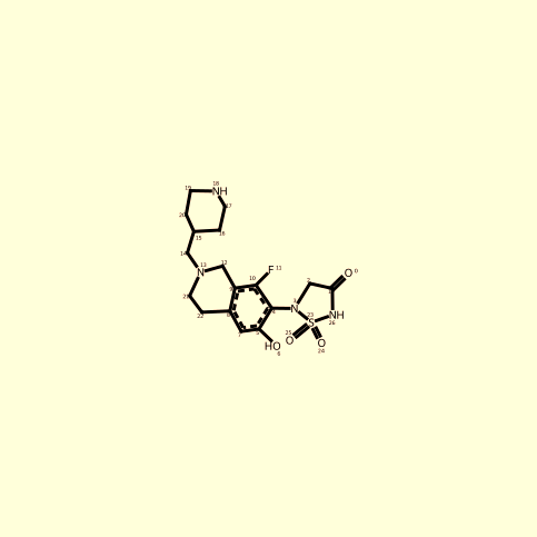 O=C1CN(c2c(O)cc3c(c2F)CN(CC2CCNCC2)CC3)S(=O)(=O)N1